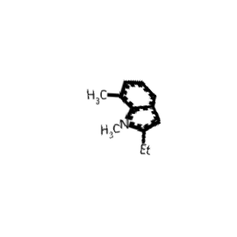 CCc1cc2cccc(C)c2n1C